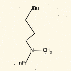 CCCN(C)CCCC(C)CC